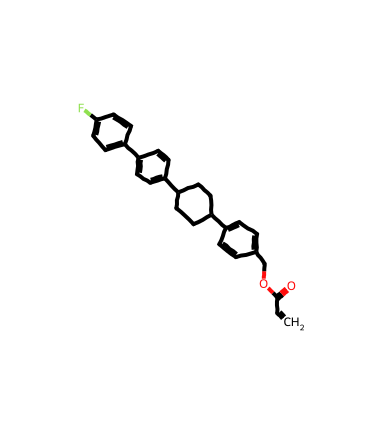 C=CC(=O)OCc1ccc(C2CCC(c3ccc(-c4ccc(F)cc4)cc3)CC2)cc1